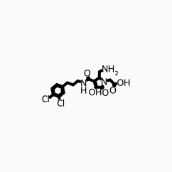 NCC1C(C(=O)NCCCc2ccc(Cl)c(Cl)c2)=C(O)C(=O)N1CC(=O)O